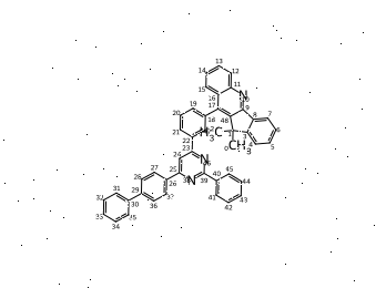 CC1(C)c2ccccc2-c2nc3ccccc3c(-c3cccc(-c4cc(-c5ccc(-c6ccccc6)cc5)nc(-c5ccccc5)n4)c3)c21